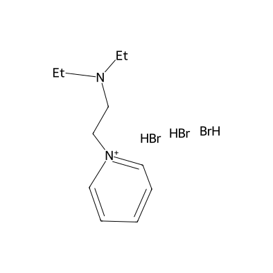 Br.Br.Br.CCN(CC)CC[n+]1ccccc1